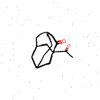 CC(=O)C12CC3CC(CC(C3)C1=O)C2